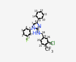 Fc1cccc(-n2cc(-c3ccccc3)nc2NCc2ccc(C(F)(F)F)c(Cl)c2)c1